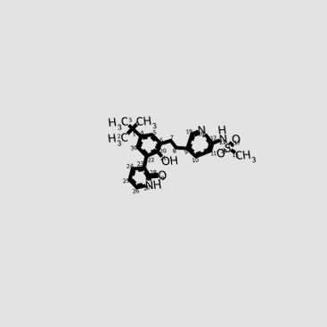 CC(C)(C)c1cc(CCc2ccc(NS(C)(=O)=O)nc2)c(O)c(-c2ccc[nH]c2=O)c1